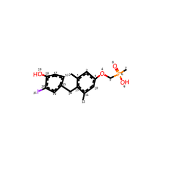 Cc1cc(OCP(C)(=O)O)cc(C)c1Cc1ccc(O)c(I)c1